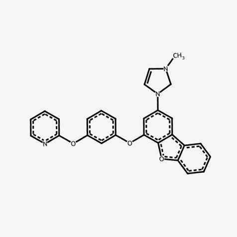 CN1C=CN(c2cc(Oc3cccc(Oc4ccccn4)c3)c3oc4ccccc4c3c2)C1